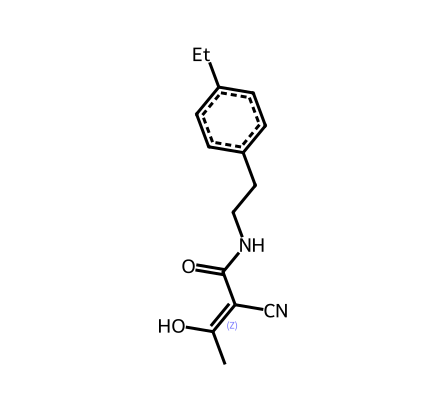 CCc1ccc(CCNC(=O)/C(C#N)=C(/C)O)cc1